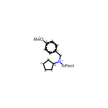 CCCCCN(Cc1ccc(OC)cc1)C1CCCC1